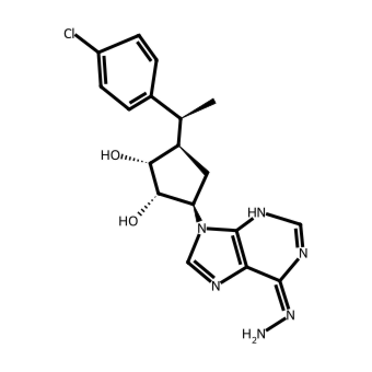 C[C@H](c1ccc(Cl)cc1)[C@H]1C[C@@H](n2cnc3/c(=N\N)nc[nH]c32)[C@H](O)[C@@H]1O